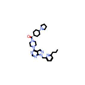 CCCc1cccc(Cn2ncc3c(N4CCN(C(=O)[C@H]5CC[C@H](N6CCCC6)CC5)CC4)ncnc32)n1